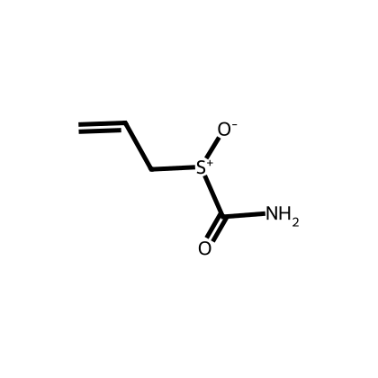 C=CC[S+]([O-])C(N)=O